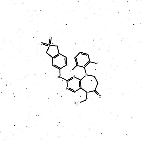 CCN1C(=O)CCN(c2c(F)cccc2F)c2nc(Nc3ccc4c(c3)CS(=O)(=O)C4)ncc21